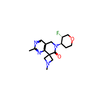 Cc1ncc2c(n1)C1(CN(C)C1)C(=O)N([C@@H]1CCOC[C@H]1F)C2